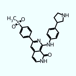 CS(=O)(=O)c1ccc(-c2cc3cc[nH]c(=O)c3c(Nc3ccc(C4CCNC4)cc3)n2)cc1